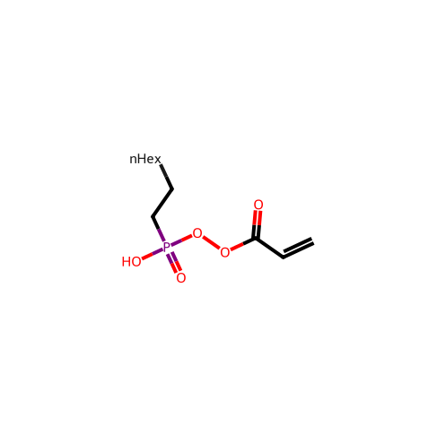 C=CC(=O)OOP(=O)(O)CCCCCCCC